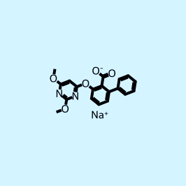 COc1cc(Oc2cccc(-c3ccccc3)c2C(=O)[O-])nc(OC)n1.[Na+]